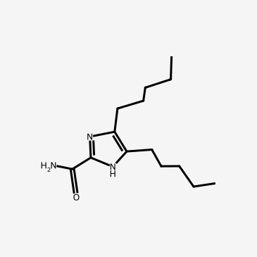 CCCCCc1nc(C(N)=O)[nH]c1CCCCC